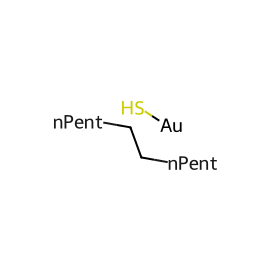 CCCCCCCCCCCC.[SH][Au]